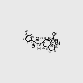 Cc1ccc(S(=O)(=O)N[C@@]2(C)C=C3C(=O)O[C@@H]4CCC(C2)[C@]34O)s1